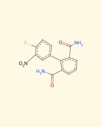 NC(=O)c1cccc(C(N)=O)c1-c1ccc(F)c([N+](=O)[O-])c1